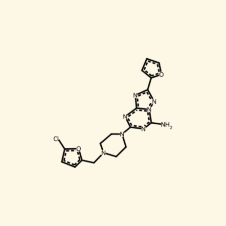 Nc1nc(N2CCN(Cc3ccc(Cl)o3)CC2)nc2nc(-c3ccco3)nn12